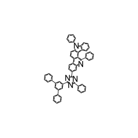 c1ccc(-c2cc(-c3ccccc3)cc(-c3nc(-c4ccccc4)nc(-c4ccc5c(c4)nc(-c4ccccc4)c4c5ccc5c4c4ccccc4n5-c4ccccc4)n3)c2)cc1